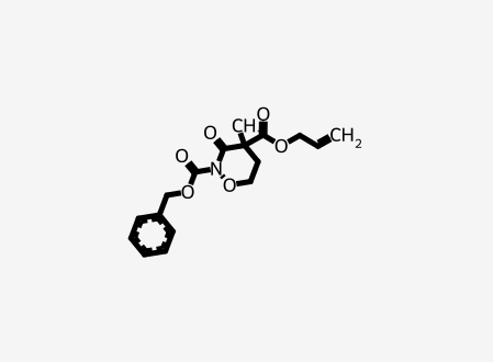 C=CCOC(=O)C1(C)CCON(C(=O)OCc2ccccc2)C1=O